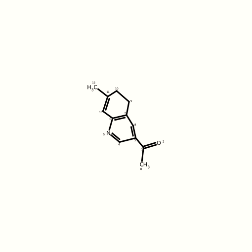 CC(=O)c1cnc2c(c1)CCC(C)=C2